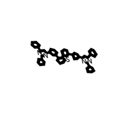 c1ccc(-c2cc(-c3ccc(-c4cccc5c4sc4cccc(-c6cccc(-c7cc(-c8ccccc8)nc(-c8ccccc8)n7)c6)c45)cc3)nc(-c3ccccc3)n2)cc1